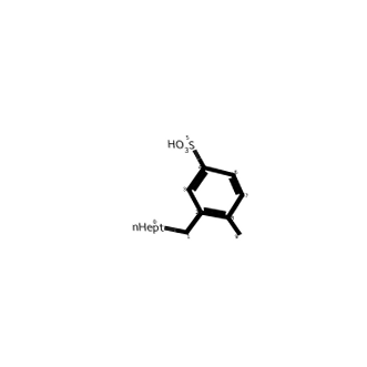 CCCCCCCCc1cc(S(=O)(=O)O)ccc1C